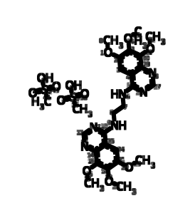 COc1cc2c(NCCNc3ncnc4c(OC)c(OC)c(OC)cc34)ncnc2c(OC)c1OC.CS(=O)(=O)O.CS(=O)(=O)O